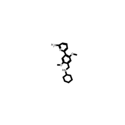 COc1cc(-c2cccc(N)n2)c(OC)cc1CNC1CCCCC1